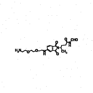 CC(CCC(=O)NC=O)N1C(=O)c2ccc(NCCOCCOCCN)cc2C1=O